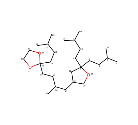 CC(C)CCC1(CCC(C)C)CC(CC(C)CCC2(CCC(C)C)OCCO2)CO1